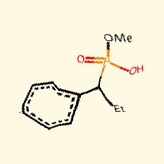 CCC(c1cc[c]cc1)P(=O)(O)OC